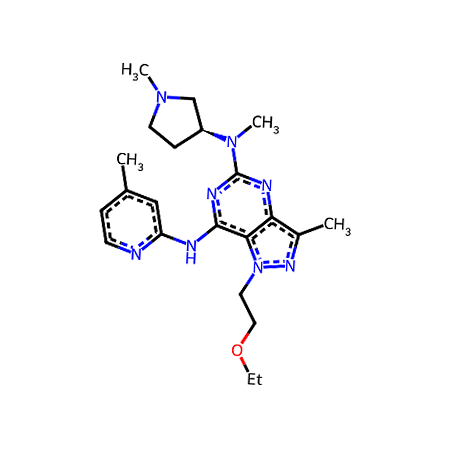 CCOCCn1nc(C)c2nc(N(C)[C@H]3CCN(C)C3)nc(Nc3cc(C)ccn3)c21